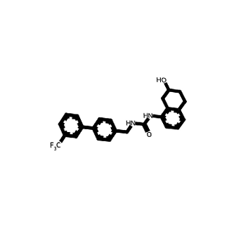 O=C(NCc1ccc(-c2cccc(C(F)(F)F)c2)cc1)Nc1cccc2c1CC(O)CC2